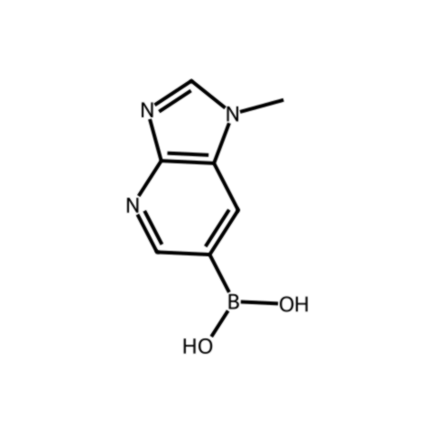 Cn1cnc2ncc(B(O)O)cc21